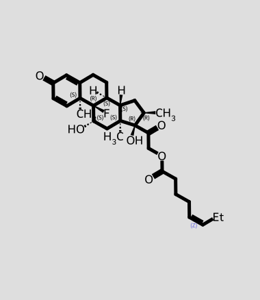 CC/C=C\CCCC(=O)OCC(=O)[C@@]1(O)[C@H](C)C[C@H]2[C@@H]3CCC4=CC(=O)C=C[C@]4(C)[C@@]3(F)[C@@H](O)C[C@@]21C